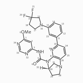 COc1cc(NC(=O)N2c3nc(-c4cccc(N5CCC(F)(F)C5)c4)ccc3N3CC[C@H]2C3)ncn1